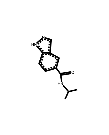 CC(C)NC(=O)c1ccc2[nH]ncc2c1